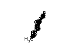 Cc1ccc(S(=O)(=O)OCc2ccc3cc(-n4ccc(OCc5ccc(F)cc5)cc4=O)ccc3n2)cc1